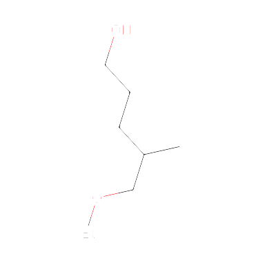 CCOCC(C)CCCO